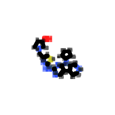 O[C@H]1CCN(Cc2csc(Nc3ncc4c5ccncc5n(C5CCCC5)c4n3)n2)C1